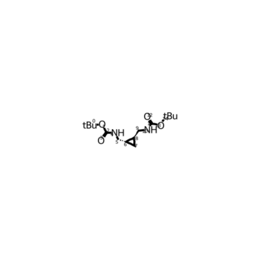 CC(C)(C)OC(=O)NC[C@H]1C[C@@H]1CNC(=O)OC(C)(C)C